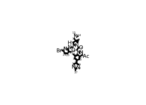 CC(=O)c1nn(CC(=O)N2C3CC3(CN(C)C)C[C@H]2C(=O)Nc2nc(Br)ccc2C)c2c(C)cc(-c3cnc(C)nc3)cc12